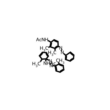 CC(=O)NC1(N=Nc2ccccc2C)C=CC=CC1C.CC(=O)Nc1ccc(N=Nc2ccccc2)c(C)c1C